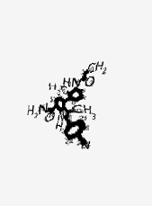 C=CC(=O)Nc1cccc(-c2ccc(C(N)=O)c3c2C(C)C(c2ccc(C#N)cc2)N3)c1C